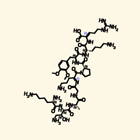 COc1ccc(C[C@H](NC(=O)[C@@H]2CCCN2C(=O)/C(CCCN)=N/C(=O)CNC(=O)[C@H](C)NC(=O)[C@@H](NC(=O)[C@@H](N)CCCCN)[C@@H](O)CN)C(=O)N[C@@H](CCCCN)C(=O)N/C(=C\CCNC(=N)N)C(=O)O)cc1OC